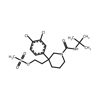 CC(C)(C)NC(=O)N1CCCC(CCOS(C)(=O)=O)(c2ccc(Cl)c(Cl)c2)C1